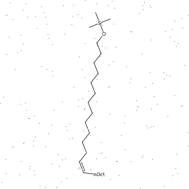 CCCCCCCC/C=C\CCCCCCCCCCCCO[Si](C)(C)C